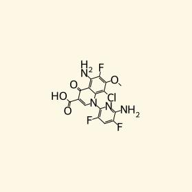 COc1c(F)c(N)c2c(=O)c(C(=O)O)cn(-c3nc(N)c(F)cc3F)c2c1Cl